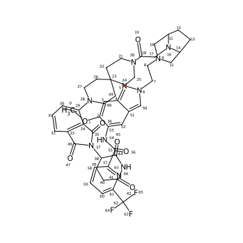 COc1cc2nn(CCN3CC4CCC(C3)N4CC(=O)N3CCC4(CC3)CCN(c3cccc5c3C(=O)N(C3CCC(=O)NC3=O)C5=O)CC4)cc2cc1NC(=O)c1cccc(C(F)(F)F)n1